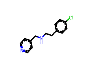 Clc1ccc(CCNCc2ccncc2)cc1